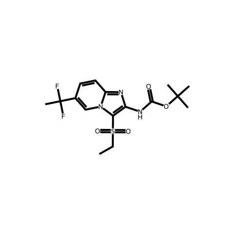 CCS(=O)(=O)c1c(NC(=O)OC(C)(C)C)nc2ccc(C(C)(F)F)cn12